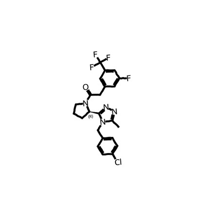 Cc1nnc([C@H]2CCCN2C(=O)Cc2cc(F)cc(C(F)(F)F)c2)n1Cc1ccc(Cl)cc1